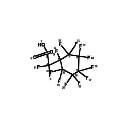 O=S(=O)(O)C(F)(F)C1(F)C(F)(F)C(F)(F)C(F)(F)C(F)(F)C1(F)F